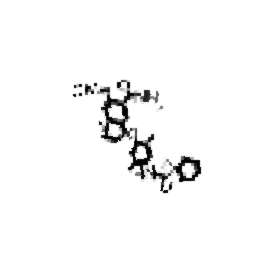 COc1cc2nccc(Oc3cc(C)c(NC(=O)Oc4ccccc4)cc3C)c2cc1C(N)=O